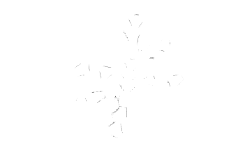 CC1C=Cc2ccc(N(c3ccc4ccccc4c3)c3ccc4c(-c5ccc(-c6ccccc6)cc5)c5cc(N(c6ccc7ccccc7c6)c6ccc7ccccc7c6)ccc5c(-c5ccc(-c6ccccc6)cc5)c4c3)cc2C1